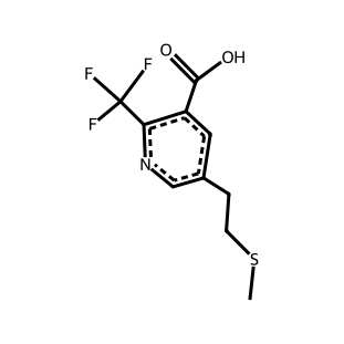 CSCCc1cnc(C(F)(F)F)c(C(=O)O)c1